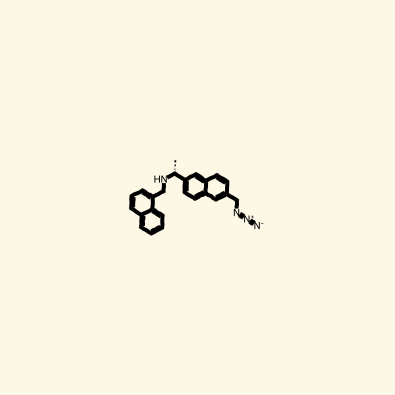 C[C@@H](NCc1cccc2ccccc12)c1ccc2cc(CN=[N+]=[N-])ccc2c1